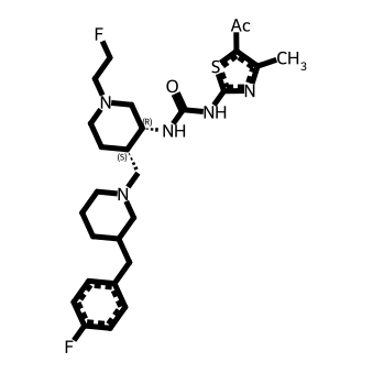 CC(=O)c1sc(NC(=O)N[C@H]2CN(CCF)CC[C@H]2CN2CCCC(Cc3ccc(F)cc3)C2)nc1C